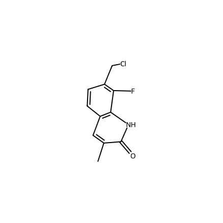 Cc1cc2ccc(CCl)c(F)c2[nH]c1=O